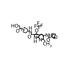 CCc1nc2[nH]c(C(=O)NC3CCN(C(=O)CO)CC3)c(OCC(F)(F)F)c2cc1NC(=O)c1ccoc1